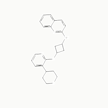 c1cnc(OC2CC(Nc3ccc4ccccc4n3)C2)c(C2CCOCC2)c1